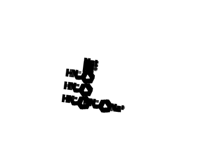 [NH-]Cc1ccccc1.[NH-]Cc1ccccc1.[NH-]Cc1ccccc1.[NH-]Cc1ccccc1.[Na+].[Na+].[Na+].[Na+]